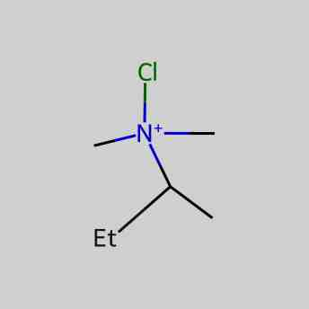 CCC(C)[N+](C)(C)Cl